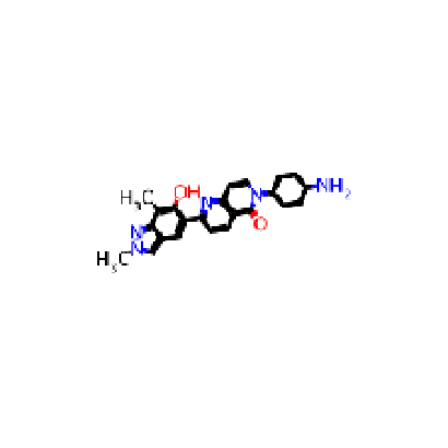 Cc1c(O)c(-c2ccc3c(=O)n(C4CCC(N)CC4)ccc3n2)cc2cn(C)nc12